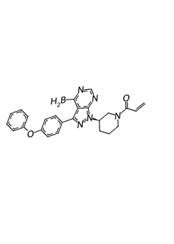 Bc1ncnc2c1c(-c1ccc(Oc3ccccc3)cc1)nn2[C@@H]1CCCN(C(=O)C=C)C1